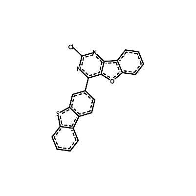 Clc1nc(-c2ccc3c(c2)sc2ccccc23)c2oc3ccccc3c2n1